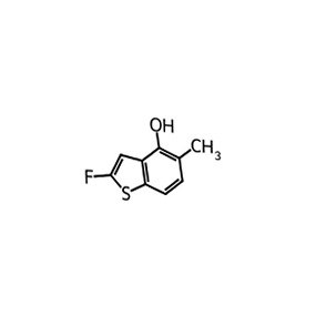 Cc1ccc2sc(F)cc2c1O